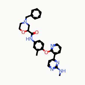 CNc1nccc(-c2cccnc2Oc2ccc(NC(=O)C3CN(Cc4ccccc4)CCO3)cc2C)n1